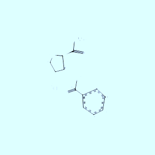 COC(=O)[C@@H]1OC[C@@H](O)[C@H]1OC(=O)c1ccccc1